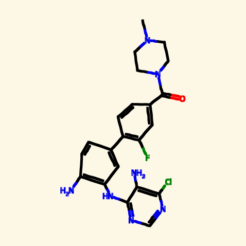 CN1CCN(C(=O)c2ccc(-c3ccc(N)c(Nc4ncnc(Cl)c4N)c3)c(F)c2)CC1